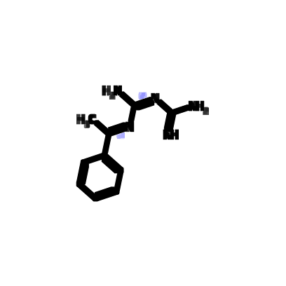 C/C(=N\C(N)=N/C(=N)N)c1ccccc1